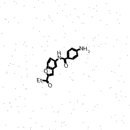 CCC(=O)c1cc2cc(NC(=O)c3ccc(N)cc3)ccc2o1